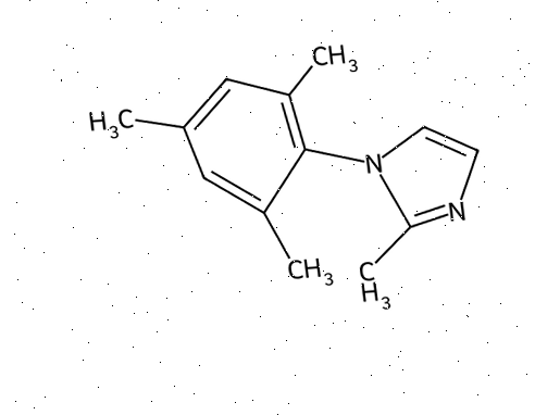 Cc1cc(C)c(-n2ccnc2C)c(C)c1